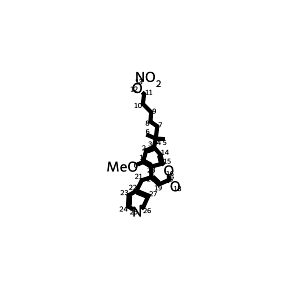 COc1cc(C(C)(C)CCCCCO[N+](=O)[O-])cc2oc(=O)cc(Cc3ccncc3)c12